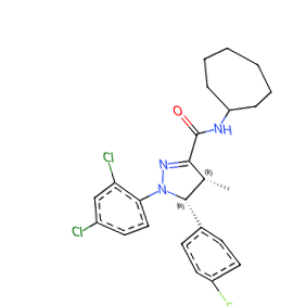 C[C@H]1C(C(=O)NC2CCCCCC2)=NN(c2ccc(Cl)cc2Cl)[C@H]1c1ccc(F)cc1